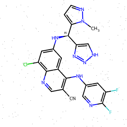 Cn1nccc1[C@H](Nc1cc(Cl)c2ncc(C#N)c(Nc3cnc(F)c(F)c3)c2c1)c1c[nH]nn1